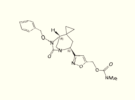 CNC(=O)OCc1cc([C@@H]2CC3(CC3)[C@@H]3CN2C(=O)N3OCc2ccccc2)no1